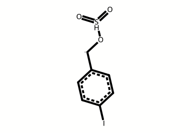 O=[SH](=O)O[CH]c1ccc(I)cc1